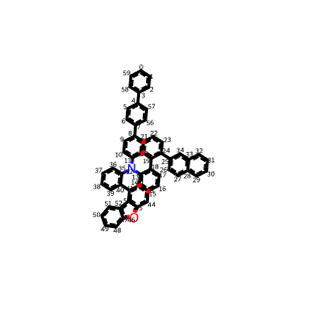 c1ccc(-c2ccc(-c3ccc(N(c4ccccc4-c4ccccc4-c4ccc5ccccc5c4)c4ccccc4-c4cccc5oc6ccccc6c45)cc3)cc2)cc1